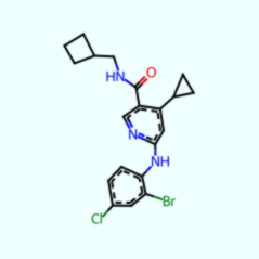 O=C(NCC1CCC1)c1cnc(Nc2ccc(Cl)cc2Br)cc1C1CC1